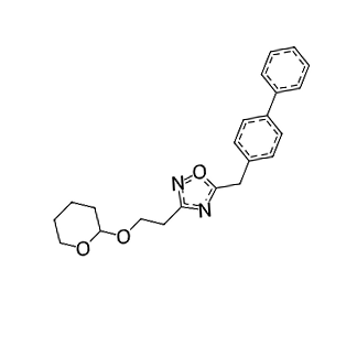 c1ccc(-c2ccc(Cc3nc(CCOC4CCCCO4)no3)cc2)cc1